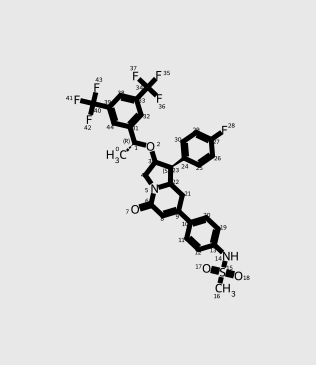 C[C@@H](OC1CN2C(=O)C=C(c3ccc(NS(C)(=O)=O)cc3)CC2[C@@H]1c1ccc(F)cc1)c1cc(C(F)(F)F)cc(C(F)(F)F)c1